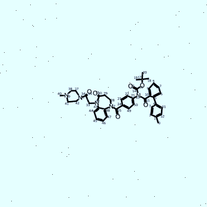 Cc1ccc(-c2ccccc2C(=O)N(C(=O)OC(C)(C)C)c2ccc(C(=O)N3CCC(=O)N(CC(=O)N4CCN(C)CC4)c4ccccc43)cc2)cc1